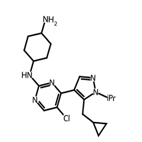 CC(C)n1ncc(-c2nc(NC3CCC(N)CC3)ncc2Cl)c1CC1CC1